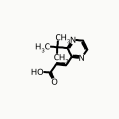 CC(C)(C)c1nccnc1/C=C/C(=O)O